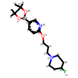 CC1(C)OB(c2ccc(OCCCN3CCC(F)CC3)nc2)OC1(C)C